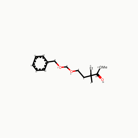 CCC(C)(CCOCOCc1ccccc1)C(=O)OC